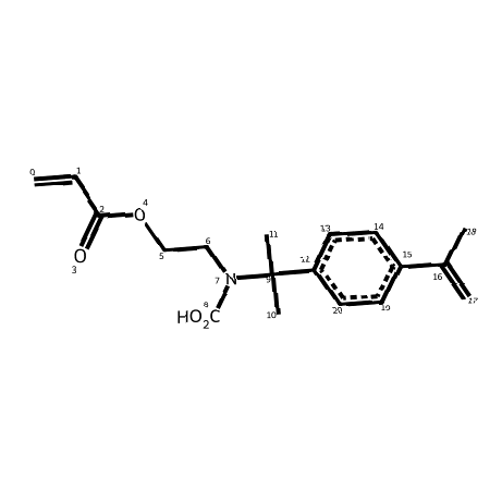 C=CC(=O)OCCN(C(=O)O)C(C)(C)c1ccc(C(=C)C)cc1